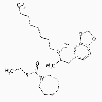 CCCCCCCC[S+]([O-])C(C)Cc1ccc2c(c1)OCO2.CCSC(=O)N1CCCCCC1